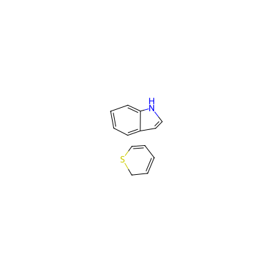 C1=CCSC=C1.c1ccc2[nH]ccc2c1